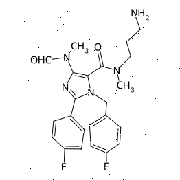 CN(CCCN)C(=O)c1c(N(C)C=O)nc(-c2ccc(F)cc2)n1Cc1ccc(F)cc1